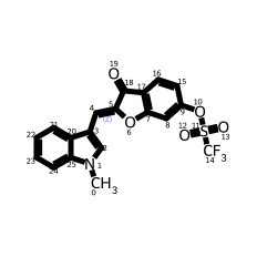 Cn1cc(/C=C2\Oc3cc(OS(=O)(=O)C(F)(F)F)ccc3C2=O)c2ccccc21